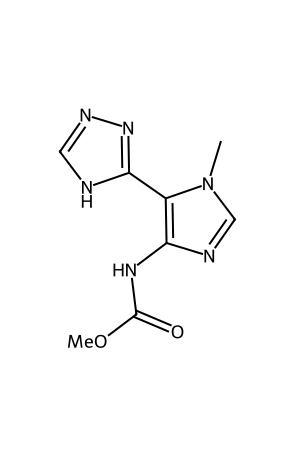 COC(=O)Nc1ncn(C)c1-c1nnc[nH]1